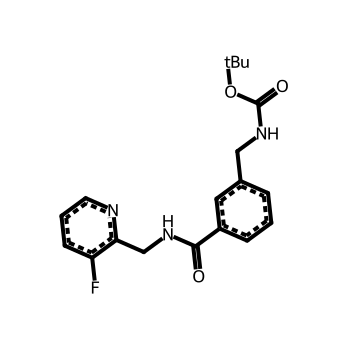 CC(C)(C)OC(=O)NCc1cccc(C(=O)NCc2ncccc2F)c1